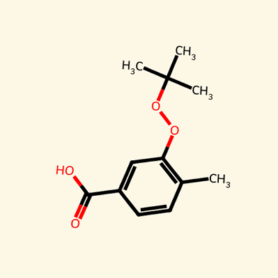 Cc1ccc(C(=O)O)cc1OOC(C)(C)C